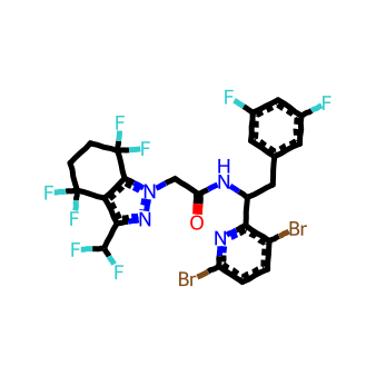 O=C(Cn1nc(C(F)F)c2c1C(F)(F)CCC2(F)F)NC(Cc1cc(F)cc(F)c1)c1nc(Br)ccc1Br